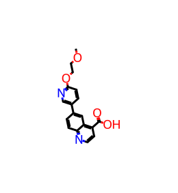 COCCOc1ccc(-c2ccc3nccc(C(=O)O)c3c2)cn1